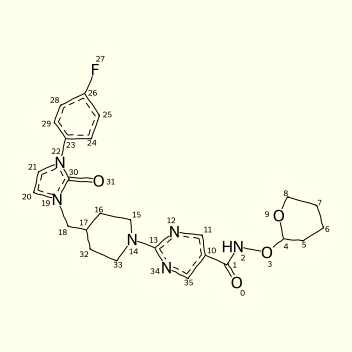 O=C(NOC1CCCCO1)c1cnc(N2CCC(Cn3ccn(-c4ccc(F)cc4)c3=O)CC2)nc1